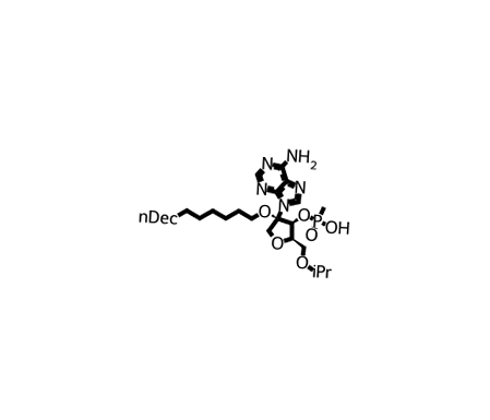 CCCCCCCCCCCCCCCCO[C@@]1(n2cnc3c(N)ncnc32)CO[C@H](COC(C)C)[C@@H]1OP(C)(=O)O